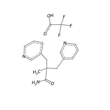 CC(Cc1cccnc1)(Cc1cccnc1)C(N)=O.O=C(O)C(F)(F)F